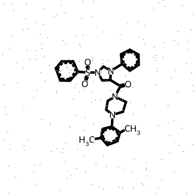 Cc1ccc(C)c(N2CCN(C(=O)C3CN(S(=O)(=O)c4ccccc4)CN3c3ccccc3)CC2)c1